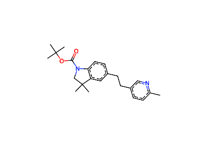 Cc1ccc(CCc2ccc3c(c2)C(C)(C)CN3C(=O)OC(C)(C)C)cn1